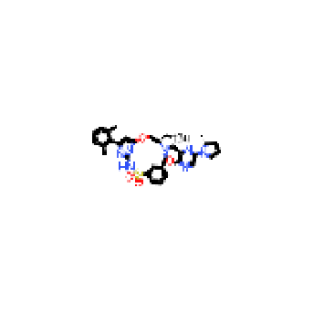 Cc1cccc(C)c1-c1cc2nc(n1)NS(=O)(=O)c1cccc(c1)C(=O)N(Cc1nc(N3CCC[C@H]3C)cnc1C)[C@H](CC(C)(C)C)CO2